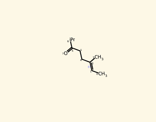 C/C=C(\C)CCC(=O)C(C)C